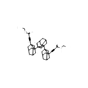 CCNC(=O)C#CC12CC3CC(C1)CC(C14CC5CC(C1)CC(C16CC7CC(CC(C#CC(=O)NCC)(C7)C1)C6)(C5)C4)(C3)C2